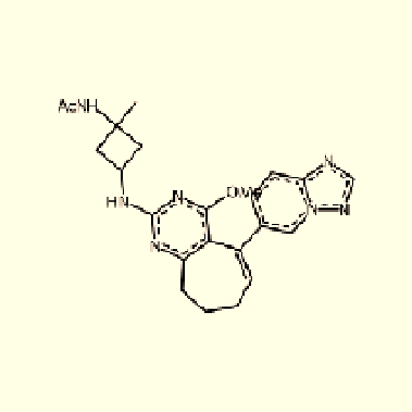 COc1nc(NC2CC(C)(NC(C)=O)C2)nc2c1C(c1ccc3ncnn3c1)=CCCC2